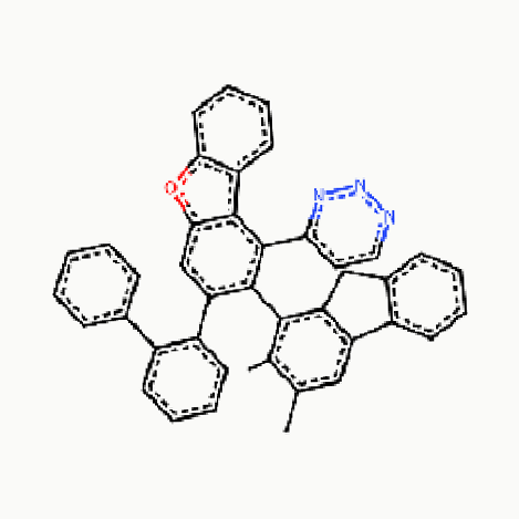 Cc1cc2c(c(-c3c(-c4ccccc4-c4ccccc4)cc4oc5ccccc5c4c3-c3ccnnn3)c1C)Cc1ccccc1-2